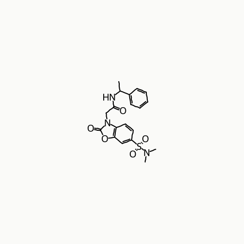 CC(NC(=O)Cn1c(=O)oc2cc(S(=O)(=O)N(C)C)ccc21)c1ccccc1